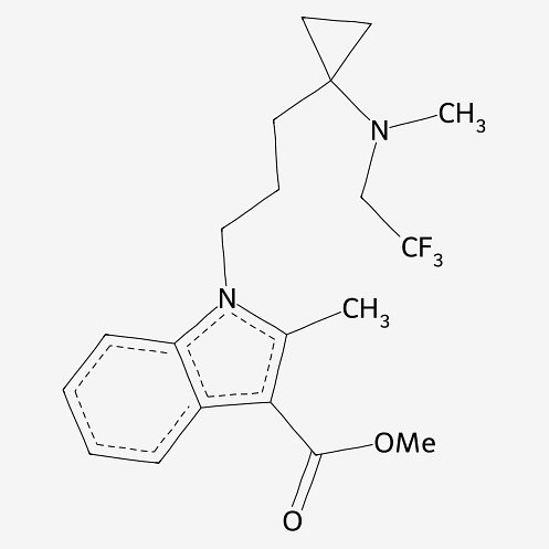 COC(=O)c1c(C)n(CCCC2(N(C)CC(F)(F)F)CC2)c2ccccc12